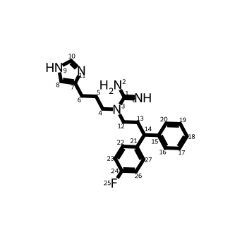 N=C(N)N(CCCc1c[nH]cn1)CCC(c1ccccc1)c1ccc(F)cc1